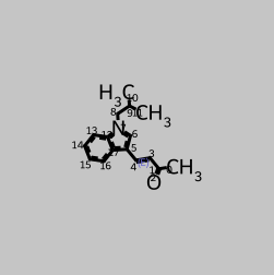 CC(=O)/C=C/c1cn(CC(C)C)c2ccccc12